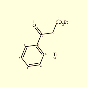 CCOC(=O)CC(=O)c1ccccc1.[Ti]